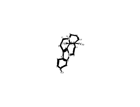 Clc1ccc2c3c4n(c2c1)C=C[C@H]1CCCN(CC3)[C@@H]41